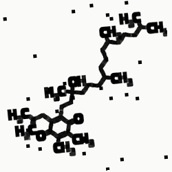 C=C(C)CC1=C(CCC(C)(O)CCCC(C)CCCC(C)CCCC(C)C)C(=O)C(C)=C(C)C1=O